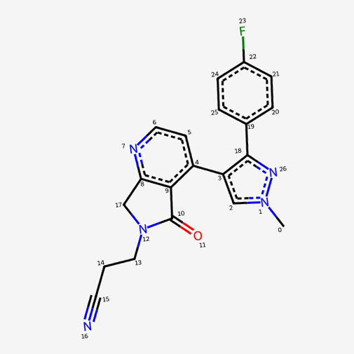 Cn1cc(-c2ccnc3c2C(=O)N(CCC#N)C3)c(-c2ccc(F)cc2)n1